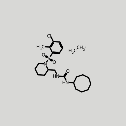 Cc1c(Cl)cccc1S(=O)(=O)N1CCCCC1CNC(=O)N[C]1CCCCCCC1.[CH2].[CH2]